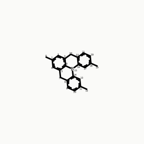 Cc1cc2c3c(c1)Cc1ccc(C)cc1B3c1cc(C)ccc1C2